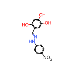 O=[N+]([O-])c1ccc(N/N=C/c2cc(O)c(O)cc2O)cc1